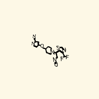 N#Cc1cc(OCC2CCN(C(CN=O)c3scnc3C(F)F)CC2)ccn1